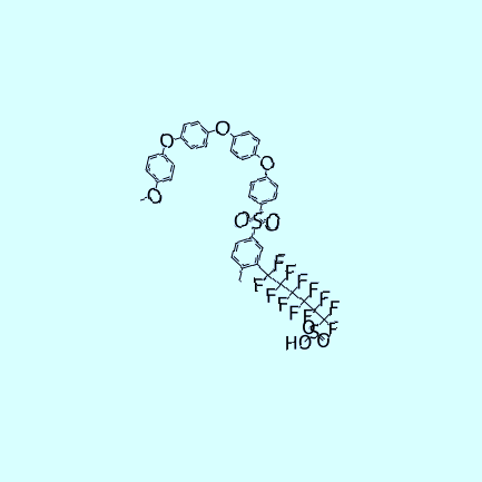 COc1ccc(Oc2ccc(Oc3ccc(Oc4ccc(S(=O)(=O)c5ccc(C)c(C(F)(F)C(F)(F)C(F)(F)C(F)(F)C(F)(F)C(F)(F)S(=O)(=O)O)c5)cc4)cc3)cc2)cc1